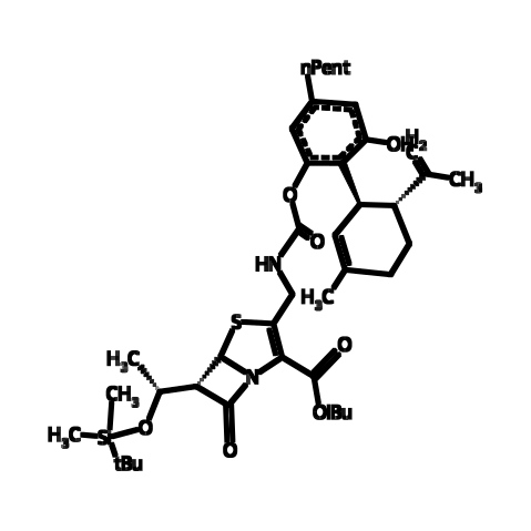 C=C(C)[C@@H]1CCC(C)=C[C@H]1c1c(O)cc(CCCCC)cc1OC(=O)NCC1=C(C(=O)OCC(C)C)N2C(=O)[C@H]([C@@H](C)O[Si](C)(C)C(C)(C)C)C2S1